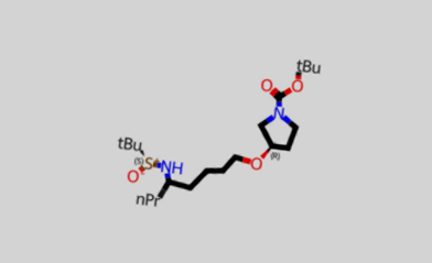 CCCC(CCCCO[C@@H]1CCN(C(=O)OC(C)(C)C)C1)N[S@+]([O-])C(C)(C)C